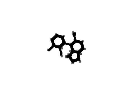 Cc1cccc(-c2c(Cl)ccc3nc[nH]c23)c1F